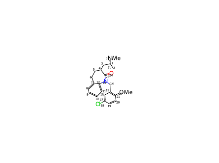 CN[C@@H](C)CC1CCc2ccccc2N(Cc2cc(Cl)ccc2OC)C1=O